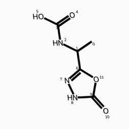 CC(NC(=O)O)c1n[nH]c(=O)o1